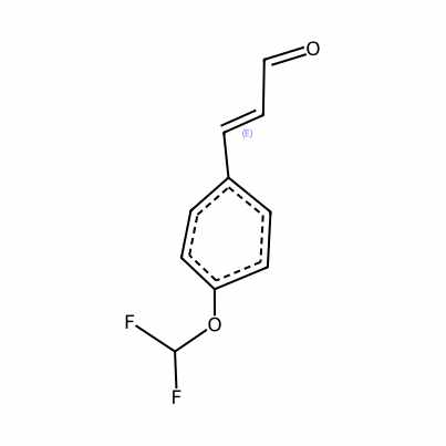 O=C/C=C/c1ccc(OC(F)F)cc1